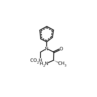 C[C@H](N)C(=O)N(CC(=O)O)c1ccccc1